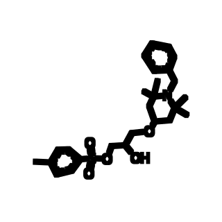 Cc1ccc(S(=O)(=O)OCC(O)COC2CC(C)(C)N(Cc3ccccc3)C(C)(C)C2)cc1